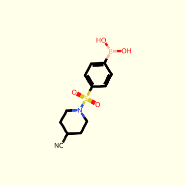 N#CC1CCN(S(=O)(=O)c2ccc(B(O)O)cc2)CC1